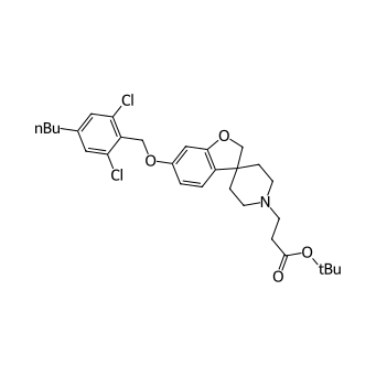 CCCCc1cc(Cl)c(COc2ccc3c(c2)OCC32CCN(CCC(=O)OC(C)(C)C)CC2)c(Cl)c1